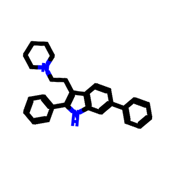 c1ccc(-c2ccc3c(CCN4CCCCC4)c(-c4ccccc4)[nH]c3c2)cc1